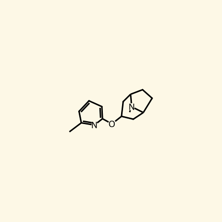 Cc1cccc(OC2CC3CCC(C2)N3C)n1